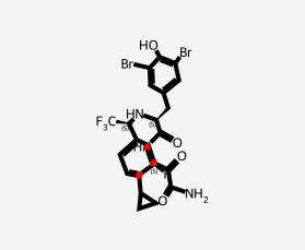 NC(=O)C(=O)[C@H](CC1CC1)NC(=O)[C@H](Cc1cc(Br)c(O)c(Br)c1)N[C@@H](c1cccc(F)c1)C(F)(F)F